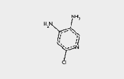 Nc1cnc(Cl)cc1N